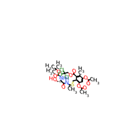 CC(=O)Oc1cc(OC(C)=O)c(CS[C@H](C)NC(=O)[C@H](CO)NC(=O)OC(C)(C)C)c(C(=O)OCC(Cl)(Cl)Cl)c1C